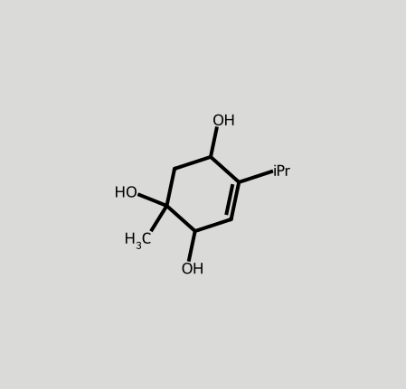 CC(C)C1=CC(O)C(C)(O)CC1O